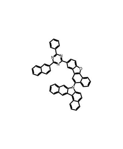 c1ccc(-c2nc(-c3ccc4ccccc4c3)nc(-c3ccc4oc5c6ccccc6c(-n6c7cc8ccccc8cc7c7c8ccccc8ccc76)cc5c4c3)n2)cc1